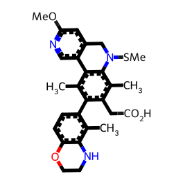 COc1cc2c(cn1)-c1c(C)c(-c3ccc4c(c3C)NCCO4)c(CC(=O)O)c(C)c1N(SC)C2